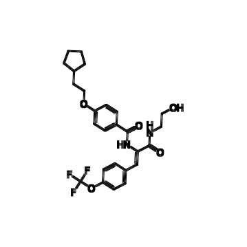 O=C(NCCO)/C(=C/c1ccc(OC(F)(F)F)cc1)NC(=O)c1ccc(OCCC2CCCC2)cc1